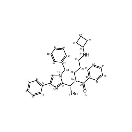 CC(C)(C)[C@H](c1nc(-c2ccccc2)cn1Cc1ccccc1)N(CCCNC1CCC1)C(=O)c1ccccc1